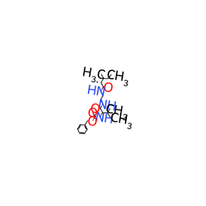 CCC(C)[CH]C(=O)NCCNC(=O)C(NC(=O)OCc1ccccc1)C(C)CC